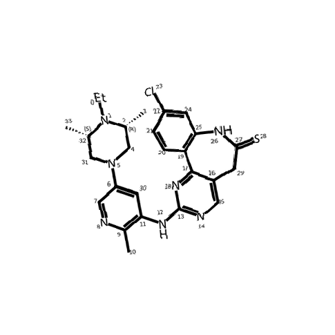 CCN1[C@H](C)CN(c2cnc(C)c(Nc3ncc4c(n3)-c3ccc(Cl)cc3NC(=S)C4)c2)C[C@@H]1C